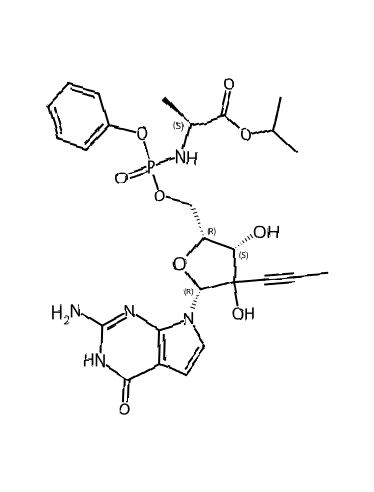 CC#CC1(O)[C@@H](O)[C@@H](COP(=O)(N[C@@H](C)C(=O)OC(C)C)Oc2ccccc2)O[C@H]1n1ccc2c(=O)[nH]c(N)nc21